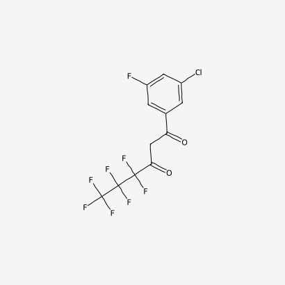 O=C(CC(=O)C(F)(F)C(F)(F)C(F)(F)F)c1cc(F)cc(Cl)c1